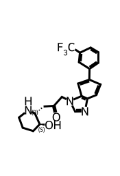 O=C(C[C@H]1NCCC[C@@H]1O)Cn1cnc2ccc(-c3cccc(C(F)(F)F)c3)cc21